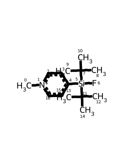 C[n+]1ccc([Si](F)(C(C)(C)C)C(C)(C)C)cc1